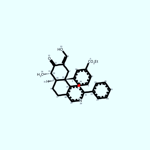 CCOC(=O)c1cccc([C@]23CC(=CO)C(=O)[C@@H](C)[C@@H]2CCc2cnc(-c4ccccc4)nc23)c1